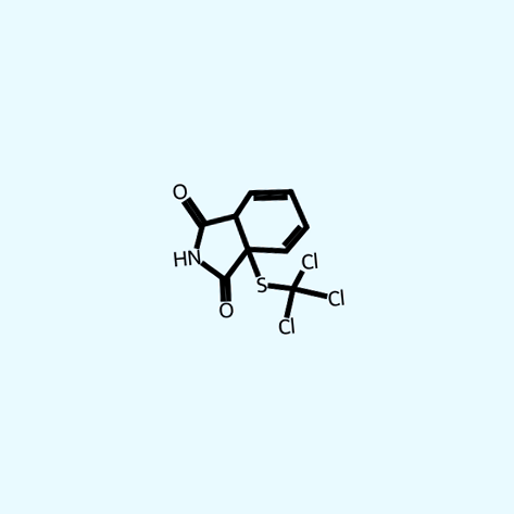 O=C1NC(=O)C2(SC(Cl)(Cl)Cl)C=CC=CC12